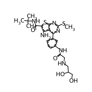 CSc1nc(-c2cccc(NC(=O)CNCC(O)CO)c2)c2c(N)c(C(=O)NC(C)(C)C)sc2n1